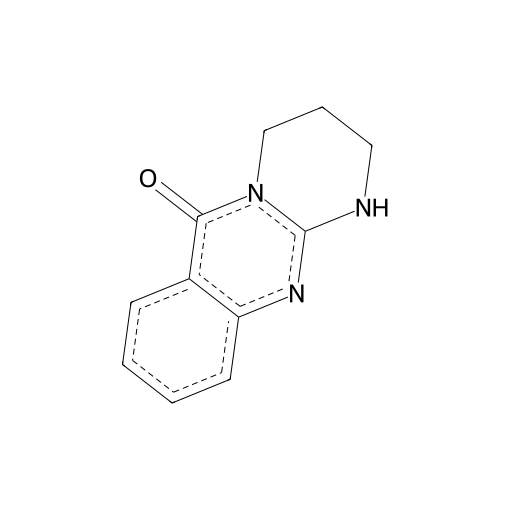 O=c1c2ccccc2nc2n1CCCN2